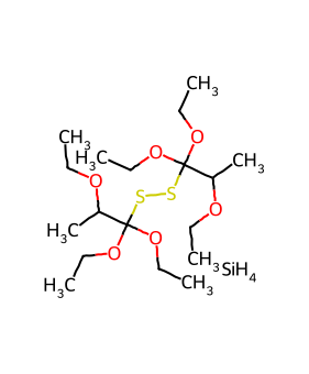 CCOC(C)C(OCC)(OCC)SSC(OCC)(OCC)C(C)OCC.[SiH4]